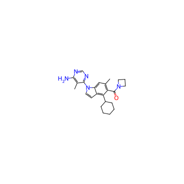 Cc1cc2c(ccn2-c2ncnc(N)c2C)c(C2CCCCC2)c1C(=O)N1CCC1